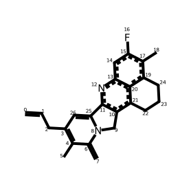 C=CCC1=C(C)C(=C)N2Cc3c(nc4cc(F)c(C)c5c4c3CCC5)C2=C1